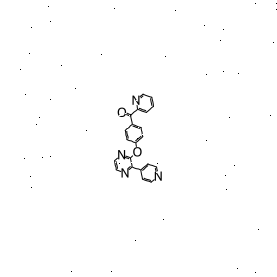 O=C(c1ccc(Oc2nccnc2-c2ccncc2)cc1)c1ccccn1